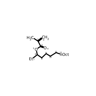 C=C(C)C(=O)OC(CC)CCCCCCCCCCCC